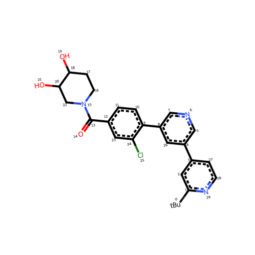 CC(C)(C)c1cc(-c2cncc(-c3ccc(C(=O)N4CCC(O)C(O)C4)cc3Cl)c2)ccn1